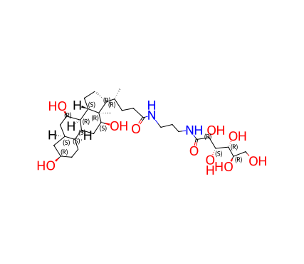 C[C@H](CCC(=O)NCCCNC(=O)[C@H](O)[C@@H](O)[C@H](O)[C@H](O)CO)[C@H]1CC[C@H]2[C@@H]3[C@H](O)C[C@@H]4C[C@H](O)CC[C@]4(C)[C@H]3C[C@H](O)[C@]12C